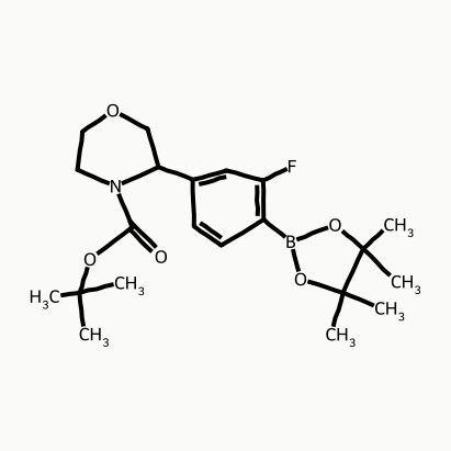 CC(C)(C)OC(=O)N1CCOCC1c1ccc(B2OC(C)(C)C(C)(C)O2)c(F)c1